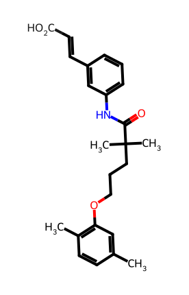 Cc1ccc(C)c(OCCCC(C)(C)C(=O)Nc2cccc(/C=C/C(=O)O)c2)c1